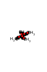 COc1ccc(CN(CC=CCN(Cc2ccc(OC)cc2)Cc2ccc(OC)cc2)Cc2ccc(OC)cc2)cc1